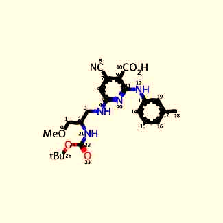 COCC(CNc1cc(C#N)c(C(=O)O)c(Nc2cccc(C)c2)n1)NC(=O)OC(C)(C)C